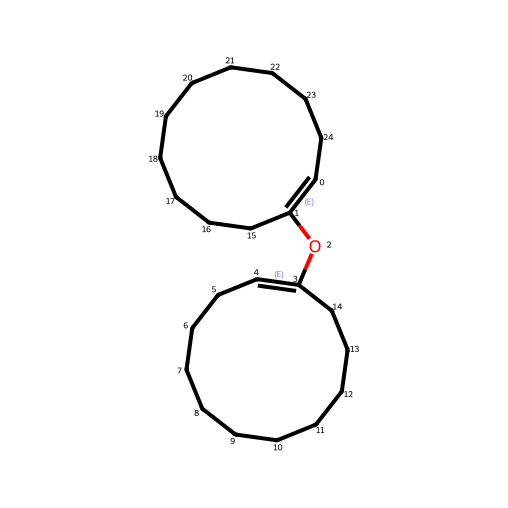 C1=C(/O/C2=C/CCCCCCCCCC2)CCCCCCCCCC/1